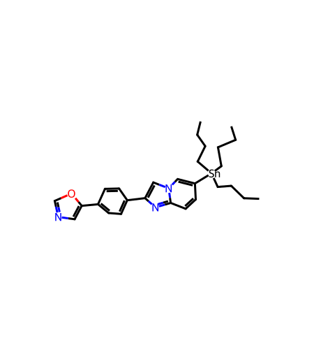 CCC[CH2][Sn]([CH2]CCC)([CH2]CCC)[c]1ccc2nc(-c3ccc(-c4cnco4)cc3)cn2c1